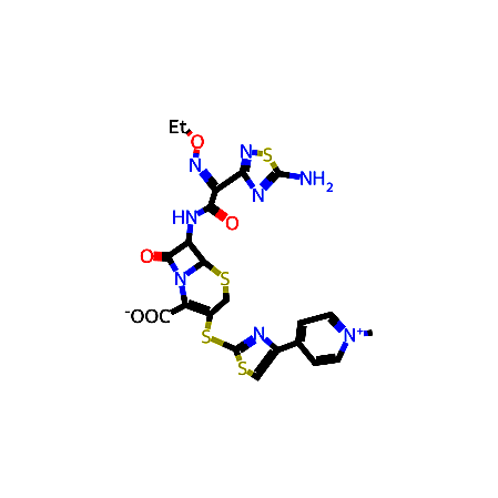 CCON=C(C(=O)NC1C(=O)N2C(C(=O)[O-])=C(Sc3nc(-c4cc[n+](C)cc4)cs3)CSC12)c1nsc(N)n1